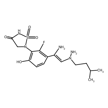 CC(C)CCN(N)/C=C(\N)c1ccc(O)c(N2CC(=O)NS2(=O)=O)c1F